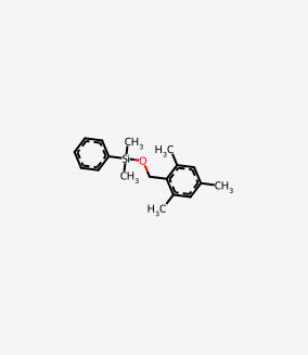 Cc1cc(C)c(CO[Si](C)(C)c2ccccc2)c(C)c1